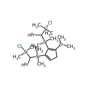 CCCC([Si](C)(C)Cl)[Si](C)(C)C1=CC[C]([Zr]([CH3])[CH3])=C1[Si](C)(C)C(CCC)[Si](C)(C)Cl